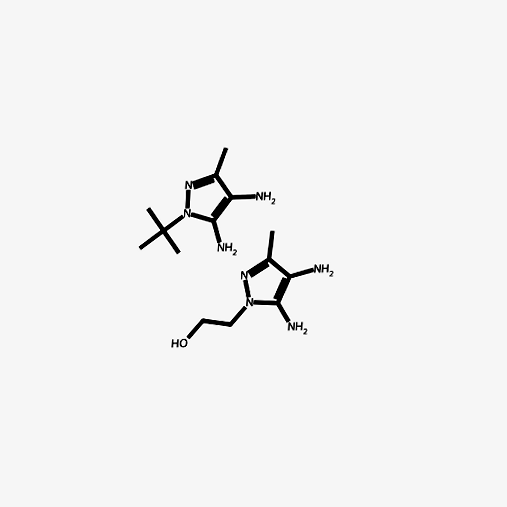 Cc1nn(C(C)(C)C)c(N)c1N.Cc1nn(CCO)c(N)c1N